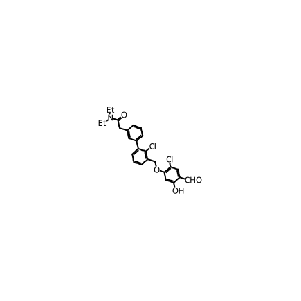 CCN(CC)C(=O)Cc1cccc(-c2cccc(COc3cc(O)c(C=O)cc3Cl)c2Cl)c1